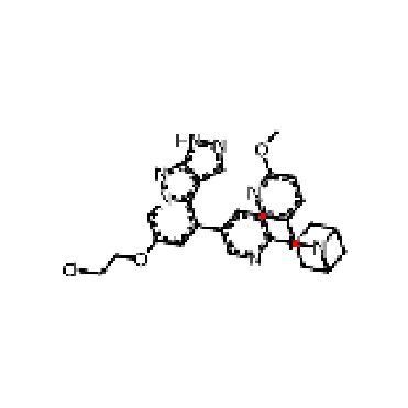 COc1ccc(CN2C3CC2CN(c2ccc(-c4cc(OCCCl)cn5nc6[nH]ncc6c45)cn2)C3)cn1